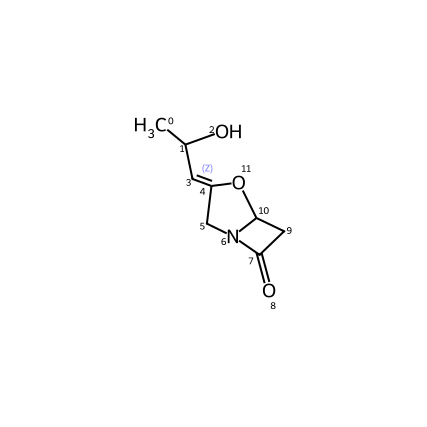 CC(O)/C=C1/CN2C(=O)CC2O1